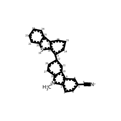 Cn1c2ccc(C#N)cc2c2cc(-c3cccc4c3sc3ccccc34)ccc21